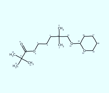 CC(C)(CCCOC(=O)C(C)(C)C)COC1CCCCO1